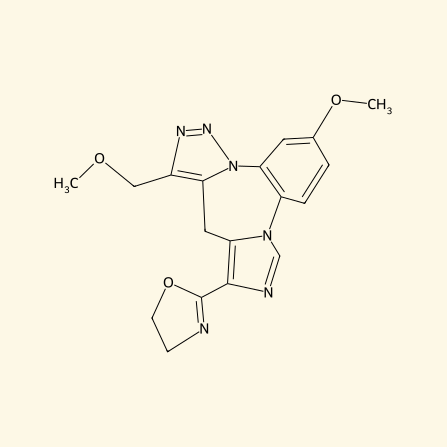 COCc1nnn2c1Cc1c(C3=NCCO3)ncn1-c1ccc(OC)cc1-2